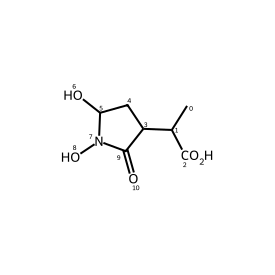 CC(C(=O)O)C1CC(O)N(O)C1=O